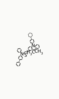 CC1(C)c2ccccc2N(c2ccc(C3CCCCC3)cc2)c2ccc(-c3csc(N(c4ccccc4)c4ccc(-c5ccccc5)cc4)c3)cc21